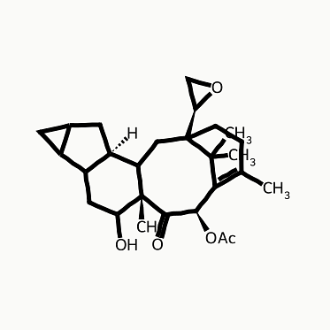 CC(=O)O[C@H]1C(=O)[C@]2(C)C(O)CC3C4CC4C[C@H]3C2CC2([C@H]3CO3)CCC(C)=C1C2(C)C